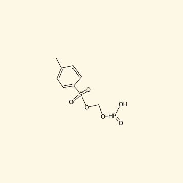 Cc1ccc(S(=O)(=O)OCO[PH](=O)O)cc1